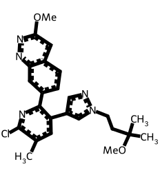 COc1cc2ccc(-c3nc(Cl)c(C)cc3-c3cnn(CCC(C)(C)OC)c3)cc2nn1